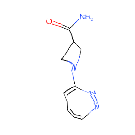 NC(=O)C1CN(c2cccnn2)C1